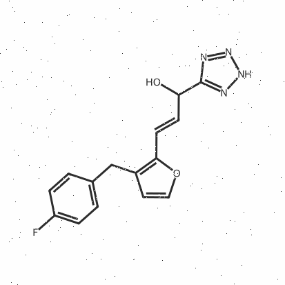 OC(C=Cc1occc1Cc1ccc(F)cc1)c1nn[nH]n1